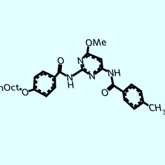 CCCCCCCCOc1ccc(C(=O)Nc2nc(NC(=O)c3ccc(C)cc3)cc(OC)n2)cc1